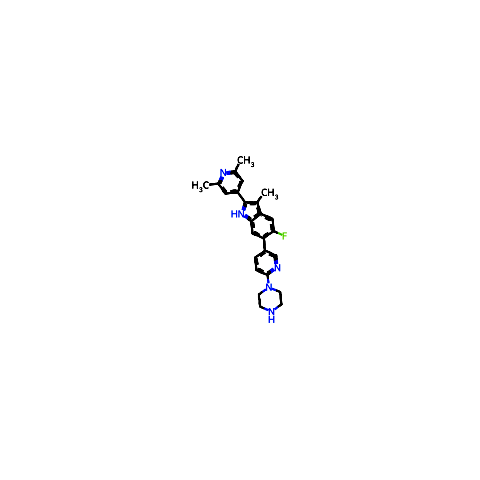 Cc1cc(-c2[nH]c3cc(-c4ccc(N5CCNCC5)nc4)c(F)cc3c2C)cc(C)n1